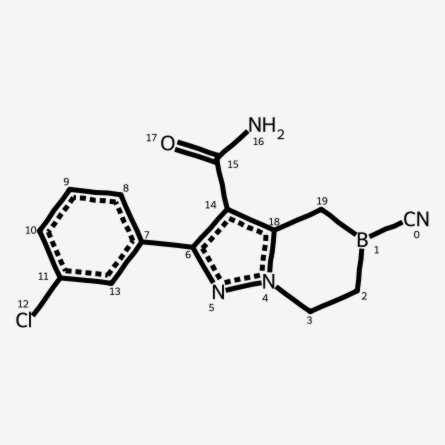 N#CB1CCn2nc(-c3cccc(Cl)c3)c(C(N)=O)c2C1